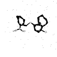 OB(O)c1ccccc1COc1ccc(Cl)c2ccccc12